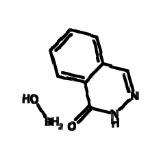 BO.O=c1[nH]ncc2ccccc12